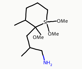 COC1(CC(C)CN)C(C)CCC[Si]1(OC)OC